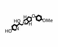 COc1ccc(O[C@@H]2C[C@@H]3CN(CC(O)c4ccc(O)cn4)C[C@@H]3C2)cc1